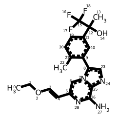 CCOC=Cc1cn2c(-c3cc(C(C)(O)C(F)(F)F)ccc3C)cnc2c(N)n1